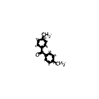 [CH2]c1ccc(C(=O)c2ccc([CH2])cc2)cc1